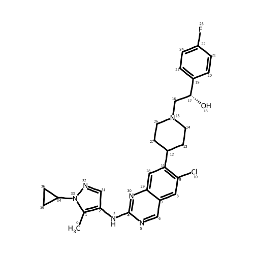 Cc1c(Nc2ncc3cc(Cl)c(C4CCN(C[C@@H](O)c5ccc(F)cc5)CC4)cc3n2)cnn1C1CC1